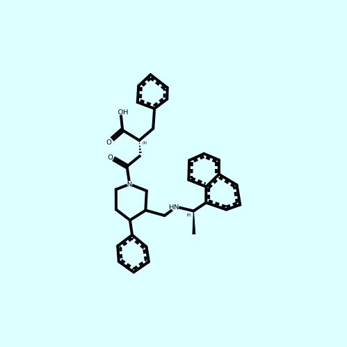 C[C@@H](NCC1CN(C(=O)C[C@@H](Cc2ccccc2)C(=O)O)CCC1c1ccccc1)c1cccc2ccccc12